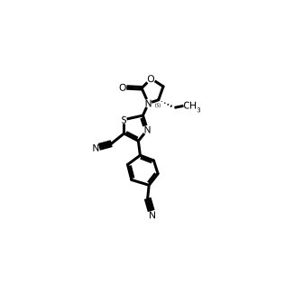 CC[C@H]1COC(=O)N1c1nc(-c2ccc(C#N)cc2)c(C#N)s1